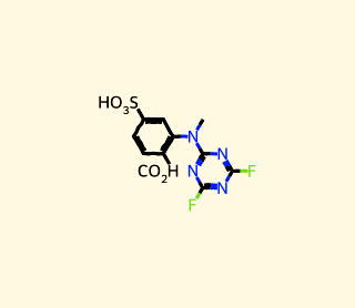 CN(c1nc(F)nc(F)n1)c1cc(S(=O)(=O)O)ccc1C(=O)O